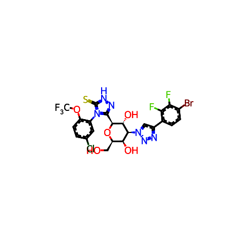 OC[C@H]1O[C@@H](c2n[nH]c(=S)n2-c2cc(Cl)ccc2OC(F)(F)F)[C@H](O)[C@@H](n2cc(-c3ccc(Br)c(F)c3F)nn2)[C@H]1O